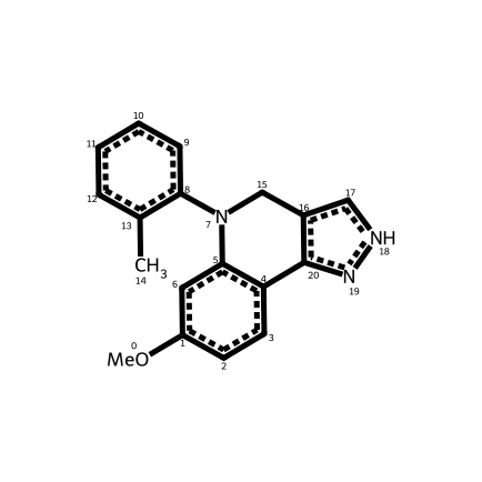 COc1ccc2c(c1)N(c1ccccc1C)Cc1c[nH]nc1-2